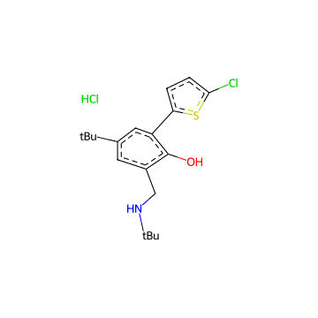 CC(C)(C)NCc1cc(C(C)(C)C)cc(-c2ccc(Cl)s2)c1O.Cl